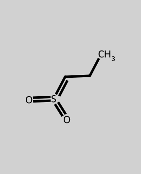 CCC=S(=O)=O